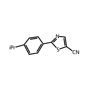 CC(C)c1ccc(-c2ncc(C#N)s2)cc1